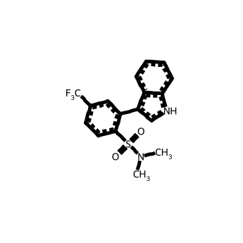 CN(C)S(=O)(=O)c1ccc(C(F)(F)F)cc1-c1c[nH]c2ccccc12